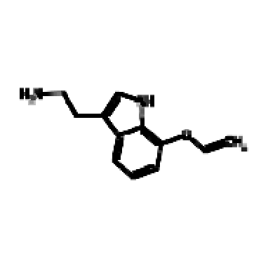 C=COc1cccc2c(CCN)c[nH]c12